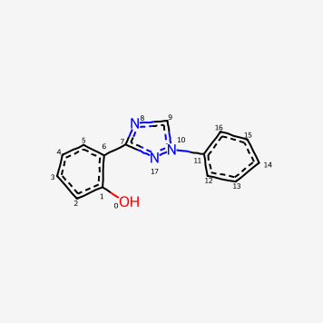 Oc1ccccc1-c1ncn(-c2ccccc2)n1